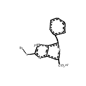 CCSc1nc2c(C(=O)O)sc(-c3ccccc3)c2[nH]1